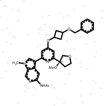 CO[C@]1(c2cc(OC3CC(OCc4ccccc4)C3)cc(-c3cn(C)c4cnc(NC(C)=O)cc34)n2)CCOC1